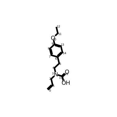 C=CCN(CCc1ccc(OCC)cc1)C(=O)O